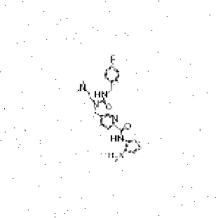 CN(C)CCN(Cc1ccc(C(=O)Nc2cscc2N)nc1)C(=O)NCc1ccc(F)cc1